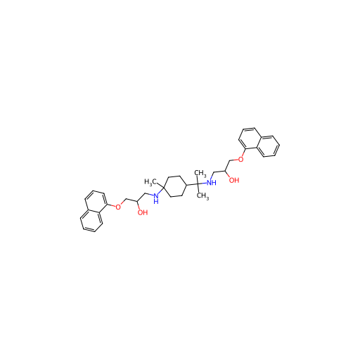 CC1(NCC(O)COc2cccc3ccccc23)CCC(C(C)(C)NCC(O)COc2cccc3ccccc23)CC1